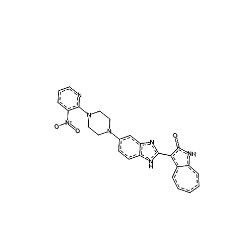 O=c1[nH]c2cccccc-2c1-c1nc2cc(N3CCN(c4ncccc4[N+](=O)[O-])CC3)ccc2[nH]1